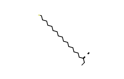 C=C=C(CC)CCCCCCCCCCCCCCCCS